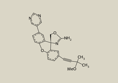 COC(C)(C)C#Cc1ccc2c(c1)[C@]1(COC(N)=N1)c1cc(-c3cncnc3)ccc1O2